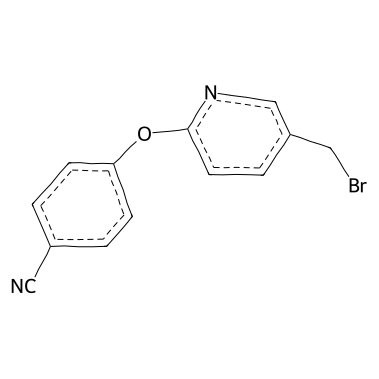 N#Cc1ccc(Oc2ccc(CBr)cn2)cc1